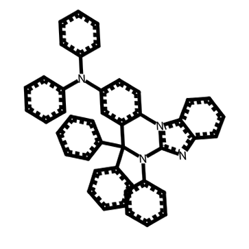 c1ccc(N(c2ccccc2)c2ccc3c(c2)C(c2ccccc2)(c2ccccc2)N(c2ccccc2)c2nc4ccccc4n2-3)cc1